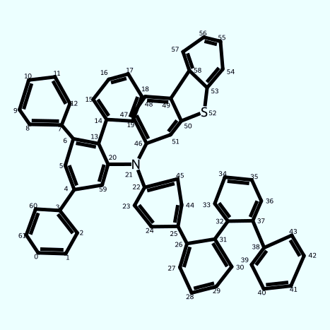 c1ccc(-c2cc(-c3ccccc3)c(-c3ccccc3)c(N(c3ccc(-c4ccccc4-c4ccccc4-c4ccccc4)cc3)c3ccc4c(c3)sc3ccccc34)c2)cc1